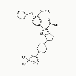 COc1cc(-c2nc3n(c2C(N)=O)CCC3C2CCN(C(=O)OC(C)(C)C)CC2)ccc1Oc1ccccc1